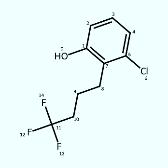 Oc1cccc(Cl)c1CCCC(F)(F)F